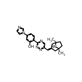 C[C@]12CC[C@](C)(C/C(=C/c3cnc(-c4ccc(-n5ccnc5)cc4O)nn3)C1)N2